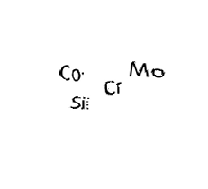 [Co].[Cr].[Mo].[Si]